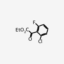 CCOC(=O)C(=O)c1c(F)cccc1Cl